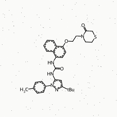 Cc1ccc(-n2nc(C(C)(C)C)cc2NC(=O)Nc2ccc(OCCN3CCSCC3=O)c3ccccc23)cc1